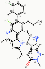 Cc1cc(C(C)c2cc3c(C)nc4c(F)c(-c5cccc(Cl)c5C)c(CCC#N)cc4c3n2[C@H]2[C@H](C)CN[C@@H]2C)c(=O)n(C)n1